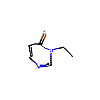 CCn1cnccc1=S